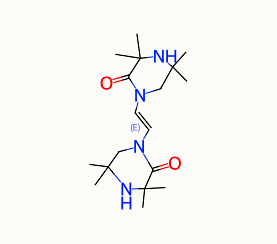 CC1(C)CN(/C=C/N2CC(C)(C)NC(C)(C)C2=O)C(=O)C(C)(C)N1